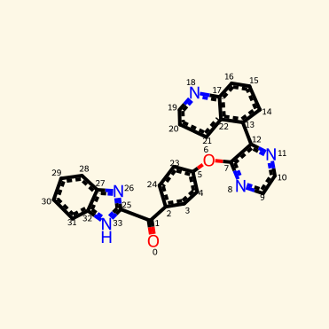 O=C(c1ccc(Oc2nccnc2-c2cccc3ncccc23)cc1)c1nc2ccccc2[nH]1